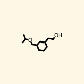 CC(C)OCC1C=C(CCO)CCC1